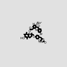 Cc1c(C)c2c(c(C)c1O)CCC(C)(COc1ccc(CC3SC(=O)NC3=O)cc1)O2.Nc1c(CC(=O)[O-])cccc1C(=O)c1ccc(Br)cc1.O.[Na+]